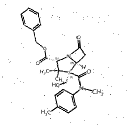 Cc1ccc(N(C)C(=O)[S@]2(CO)[C@@H]3CC(=O)N3[C@@H](C(=O)OCc3ccccc3)C2(C)C)cc1